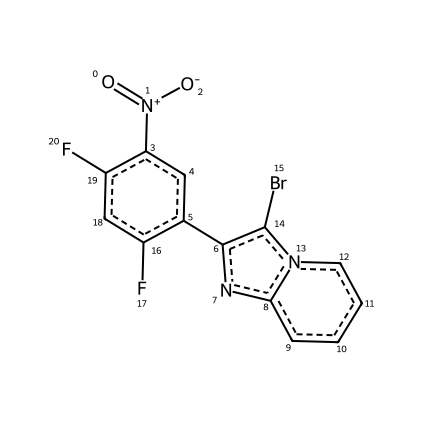 O=[N+]([O-])c1cc(-c2nc3ccccn3c2Br)c(F)cc1F